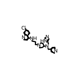 Clc1ccc2c(NCCCN3CCC(N(Cc4ccncc4)Cc4cnc[nH]4)CC3)ccnc2c1